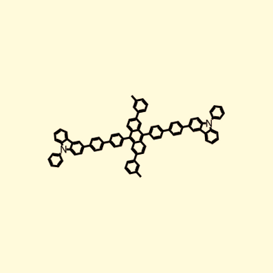 Cc1cccc(-c2ccc3c(-c4ccc(-c5ccc(-c6ccc7c(c6)c6ccccc6n7-c6ccccc6)cc5)cc4)c4cc(-c5cccc(C)c5)ccc4c(-c4ccc(-c5ccc(-c6ccc7c(c6)c6ccccc6n7-c6ccccc6)cc5)cc4)c3c2)c1